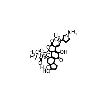 COC[C@H]1OC(=O)C(=CN(C)C2CCN(C)C2)C2=C(O)C(=O)C3=C([C@H](OC(C)=O)C[C@@]4(C)C3CC[C@@H]4O)[C@]21C